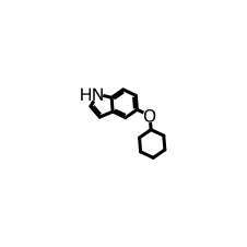 c1cc2cc(OC3CCCCC3)ccc2[nH]1